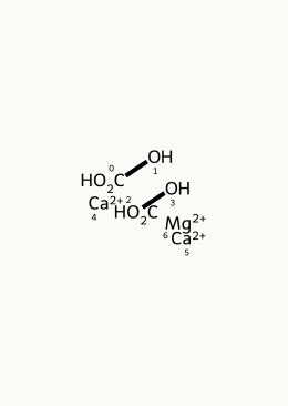 O=C(O)O.O=C(O)O.[Ca+2].[Ca+2].[Mg+2]